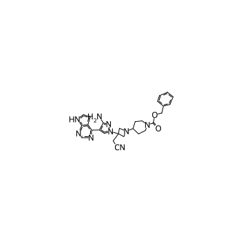 N#CCC1(n2cc(-c3ncnc4[nH]ccc34)c(N)n2)CN(C2CCN(C(=O)OCc3ccccc3)CC2)C1